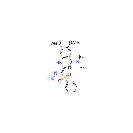 CCN(CC)C1=N/C(=C(/N=N)S(=O)(=O)c2ccccc2)Nc2cc(OC)c(OC)cc21